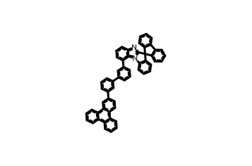 c1cc(-c2cccc(-c3cccc4nc5n(c34)-c3ccccc3C53c4ccccc4-c4ccccc43)c2)cc(-c2ccc3c4ccccc4c4ccccc4c3c2)c1